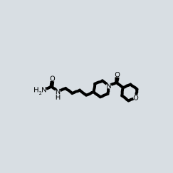 NC(=O)NCCCCC1CCN(C(=O)C2CCOCC2)CC1